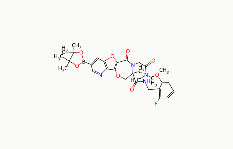 COc1cccc(F)c1CNC(=O)C1(C)COc2c(oc3cc(B4OC(C)(C)C(C)(C)O4)cnc23)C(=O)N1CC(=O)N(C)C